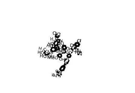 CCC(C)n1ncn(-c2ccc(N3CCN(c4ccc(OC[C@H]5CO[C@](Cn6cncn6)(c6ccc(Cl)cc6Cl)O5)cc4)CC3)cc2)c1=O.COc1ccc([C@@H]2CC(=O)c3c(O)cc(O)cc3O2)cc1O.C[C@@H]1O[C@@H](O[C@H]2C[C@@H](O)[C@]3(CO)[C@H]4[C@H](O)C[C@]5(C)[C@@H](C6=CC(=O)OC6)CC[C@]5(O)[C@@H]4CC[C@]3(O)C2)[C@H](O)[C@H](O)[C@H]1O